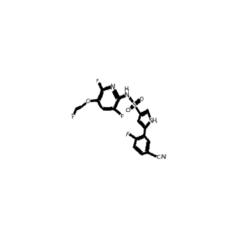 N#Cc1ccc(F)c(-c2cc(S(=O)(=O)Nc3nc(F)c(OCCF)cc3F)c[nH]2)c1